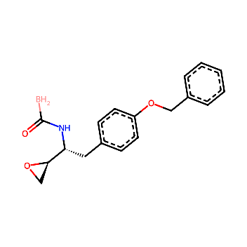 BC(=O)N[C@H](Cc1ccc(OCc2ccccc2)cc1)[C@H]1CO1